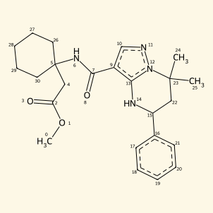 COC(=O)CC1(NC(=O)c2cnn3c2NC(c2ccccc2)CC3(C)C)CCCCC1